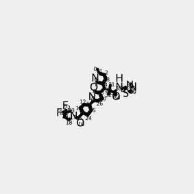 Cc1ccc2c(n1)Oc1nc(-c3ccc(C(=O)N4CCC(F)(F)C4)cc3)ccc1[C@H]2C(C)(C)C(=O)Nc1nncs1